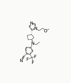 CCN(c1ccc(C#N)c(C(F)(F)F)c1)[C@H]1CC[C@H](c2cncn2CCOC)C1